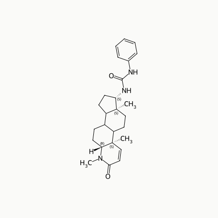 CN1C(=O)C=C[C@]2(C)C3CC[C@@]4(C)C(CC[C@@H]4NC(=O)Nc4ccccc4)C3CC[C@@H]12